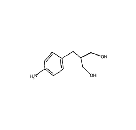 Nc1ccc(CC(CO)CO)cc1